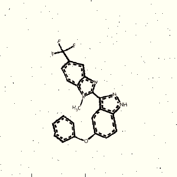 Cn1c(-c2n[nH]c3ccc(Oc4ccccc4)cc23)nc2cc(C(F)(F)F)ccc21